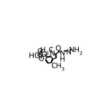 Cc1ccc(OS(=O)(=O)O)c2c1cc(C(=O)NC=NN)n2C